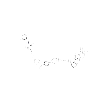 O=C(/C=C/c1cccnc1)NCCCCC1CCN(C(=O)c2ccc(N3CCN(CCCCNc4cccc5c4C(=O)N(C4CCC(=O)NC4=O)C5)CC3)cc2)CC1